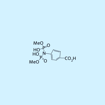 COP(=O)(O)N(c1ccc(C(=O)O)cc1)P(=O)(O)OC